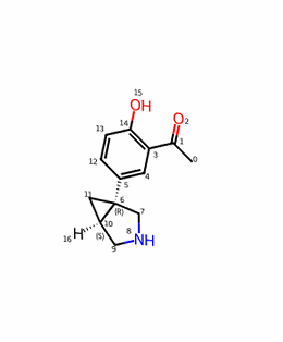 CC(=O)c1cc([C@]23CNC[C@H]2C3)ccc1O